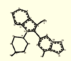 Cc1cc(-c2c(C(C)C)c3ccccc3n2C2CCC(C)CC2)cn2ncnc12